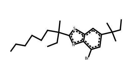 CCCCCCC(C)(CC)c1nc2c(Br)cc(C(C)(C)CC)cc2s1